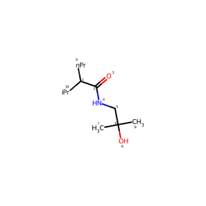 CCCC(C(=O)NCC(C)(C)O)C(C)C